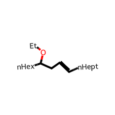 [CH2]CCCCCC/C=C/CC(CCCCCC)OCC